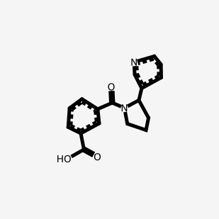 O=C(O)c1cccc(C(=O)N2CCCC2c2cccnc2)c1